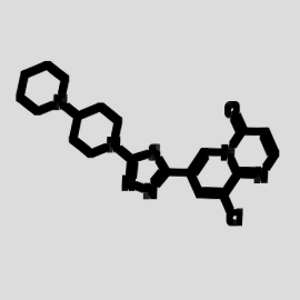 O=c1ccnc2c(Cl)cc(-c3nnc(N4CCC(N5CCCCC5)CC4)s3)cn12